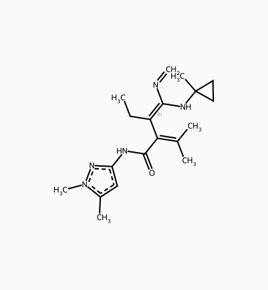 C=N/C(NC1(C)CC1)=C(\CC)C(C(=O)Nc1cc(C)n(C)n1)=C(C)C